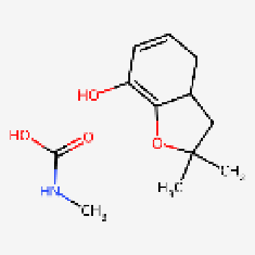 CC1(C)CC2CC=CC(O)=C2O1.CNC(=O)O